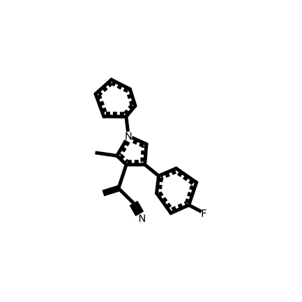 C=C(C#N)c1c(-c2ccc(F)cc2)cn(-c2ccccc2)c1C